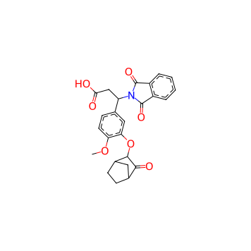 COc1ccc(C(CC(=O)O)N2C(=O)c3ccccc3C2=O)cc1OC1C(=O)C2CCC1C2